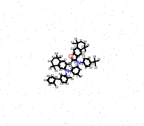 Cc1cc2c3c(c1)N(c1ccc(C(C)(C)C)cc1)c1c(oc4cc5c(cc14)C(C)(C)CCC5(C)C)B3c1cc3c(cc1N2c1cc(-c2ccccc2C)ccc1C)C(C)(C)CCC3(C)C